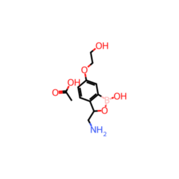 CC(=O)O.NCC1OB(O)c2cc(OCCO)ccc21